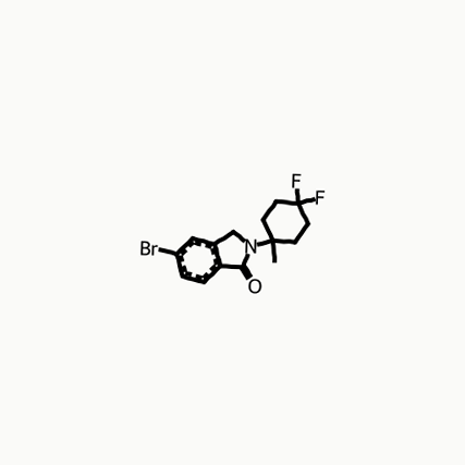 CC1(N2Cc3cc(Br)ccc3C2=O)CCC(F)(F)CC1